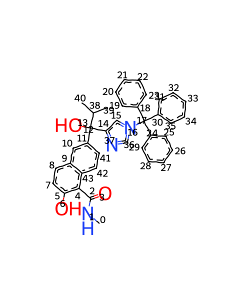 CNC(=O)c1c(O)ccc2cc(C(O)(c3cn(C(c4ccccc4)(c4ccccc4)c4ccccc4)cn3)C(C)C)ccc12